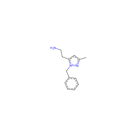 Cc1cc(CCN)n(Cc2ccccc2)n1